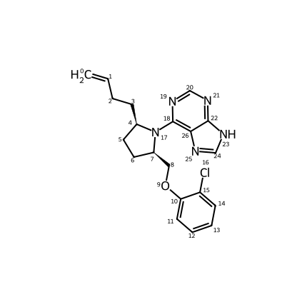 C=CCC[C@@H]1CC[C@H](COc2ccccc2Cl)N1c1ncnc2[nH]cnc12